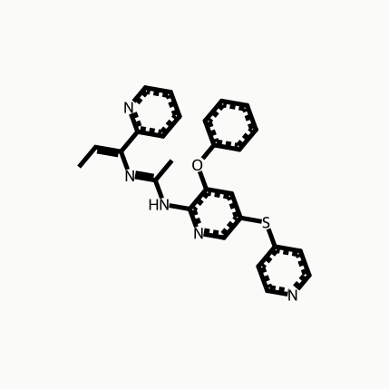 C/C=C(\N=C(/C)Nc1ncc(Sc2ccncc2)cc1Oc1ccccc1)c1ccccn1